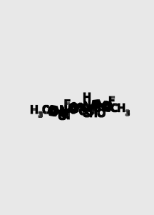 Cc1ccc(-c2nc(-c3ccc(CC(NC(=O)c4ccc(-c5ccc(C)c(F)c5)o4)OC=O)cc3F)no2)cc1